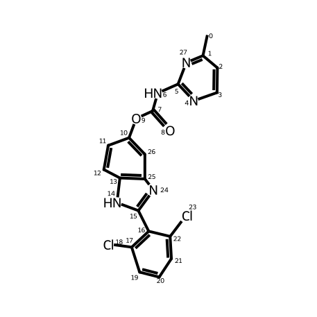 Cc1ccnc(NC(=O)Oc2ccc3[nH]c(-c4c(Cl)cccc4Cl)nc3c2)n1